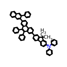 CC1(C)c2cc(-c3ccc4c(c3)c(-c3ccccc3)c(-c3ccccc3)c3cc(-c5cc6ccccc6cc5-c5ccccc5)ccc34)ccc2-c2ccc(N(c3ccccc3)c3ccccc3)cc21